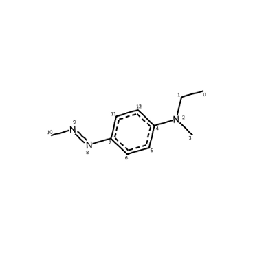 CCN(C)c1ccc(N=NC)cc1